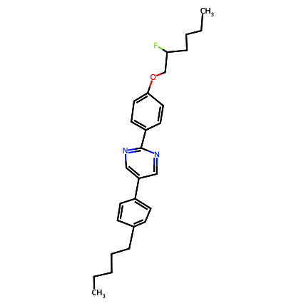 CCCCCc1ccc(-c2cnc(-c3ccc(OCC(F)CCCC)cc3)nc2)cc1